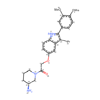 COc1ccc(-c2[nH]c3ccc(OCC(=O)N4CCC[C@H](N)C4)cc3c2C(C)C)cc1OC